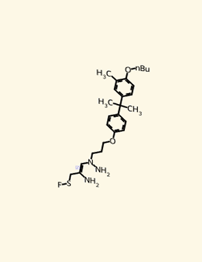 CCCCOc1ccc(C(C)(C)c2ccc(OCCCN(N)/C=C(\N)CSF)cc2)cc1C